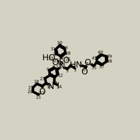 O=C(NCCCN(c1ccc2c(c1)C(I)=NC(C1CCCCO1)C2)S(=O)(=O)c1ccccc1O)OCc1ccccc1